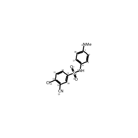 CNc1ccc(NS(=O)(=O)c2ccc(Cl)c(C#N)c2)cc1